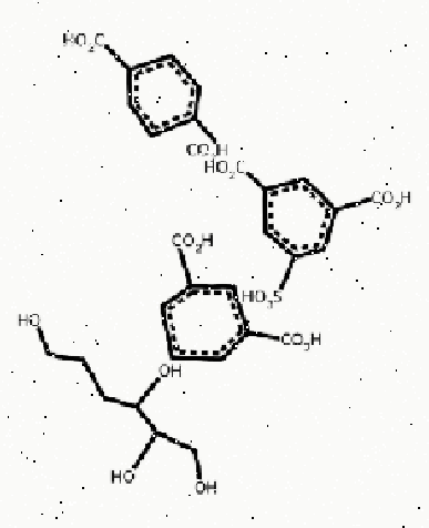 O=C(O)c1cc(C(=O)O)cc(S(=O)(=O)O)c1.O=C(O)c1ccc(C(=O)O)cc1.O=C(O)c1cccc(C(=O)O)c1.OCCCC(O)C(O)CO